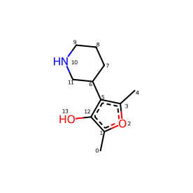 Cc1oc(C)c(C2CCCNC2)c1O